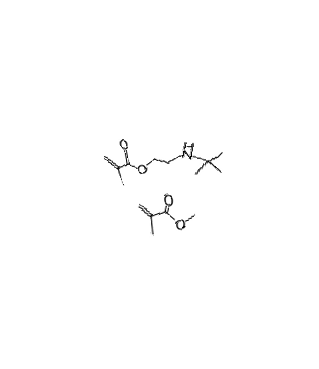 C=C(C)C(=O)OC.C=C(C)C(=O)OCCNC(C)(C)C